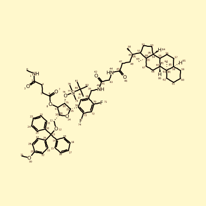 CNC(=O)CCC(=O)OC1[C@@H](COC(c2ccccc2)(c2ccccc2)c2ccc(OC)cc2)O[C@@H](c2cc(CNC(=O)CNC(=O)CC[C@@H](C)C3CC[C@@H]4C5CC[C@H]6CCCC[C@@]6(C)[C@@H]5CC[C@@]34C)c(F)cc2F)[C@H]1O[Si](C)(C)C(C)(C)C